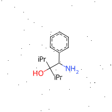 CC(C)C(O)(C(C)C)C(N)c1ccccc1